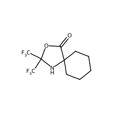 O=C1OC(C(F)(F)F)(C(F)(F)F)NC12CCCCC2